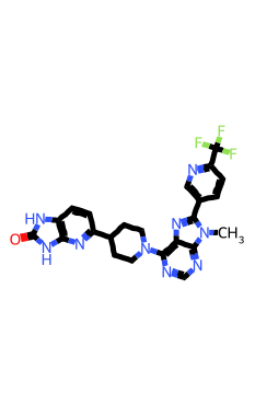 Cn1c(-c2ccc(C(F)(F)F)nc2)nc2c(N3CCC(c4ccc5[nH]c(=O)[nH]c5n4)CC3)ncnc21